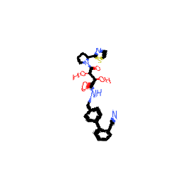 N#Cc1ccccc1-c1ccc(CNC(=O)[C@H](O)[C@@H](O)C(=O)N2CCCC2c2nccs2)cc1